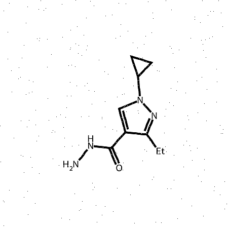 CCc1nn(C2CC2)cc1C(=O)NN